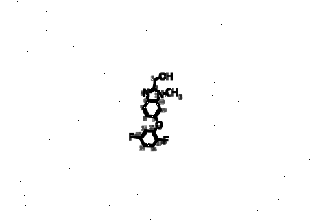 Cn1c(CO)nc2ccc(Oc3cc(F)ccc3F)cc21